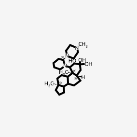 CN1CCN([C@H]2CCCCN2C2C(O)C(O)(O)C[C@@H]3CCC4C5CCC[C@@]5(C)CCC4[C@@]23C)CC1